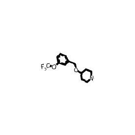 FC(F)(F)Oc1cccc(COC2CC[N]CC2)c1